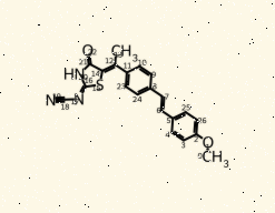 COc1ccc(C=Cc2ccc(C(C)=C3SC(=NC#N)NC3=O)cc2)cc1